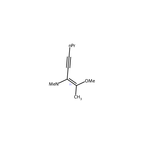 CCCC#C/C(NC)=C(/C)OC